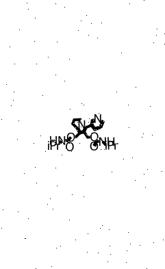 CC(C)NC(=O)OCc1c(COC(=O)NC(C)C)c(-c2cccnc2)n2c1CCC2